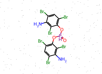 Nc1c(Br)cc(Br)c(O[PH](=O)Oc2c(Br)cc(Br)c(N)c2Br)c1Br